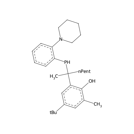 CCCCCC(C)(Pc1ccccc1N1CCCCC1)c1cc(C(C)(C)C)cc(C)c1O